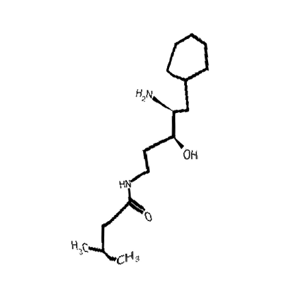 CC(C)CC(=O)NCC[C@H](O)[C@@H](N)CC1CCCCC1